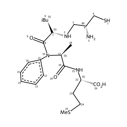 CC[C@H](C)[C@H](NC[C@@H](N)CS)C(=O)N(c1ccccc1)[C@@H](C)C(=O)N[C@@H](CCSC)C(=O)O